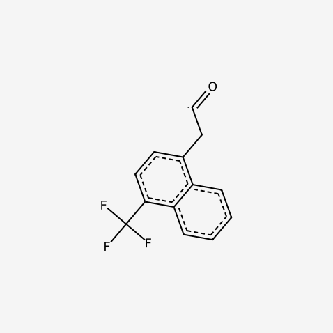 O=[C]Cc1ccc(C(F)(F)F)c2ccccc12